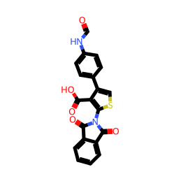 O=CNc1ccc(-c2csc(N3C(=O)c4ccccc4C3=O)c2C(=O)O)cc1